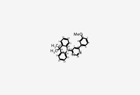 COc1cccc(-c2cc(N3c4ccccc4C(C)(C)c4ccccc43)ncn2)c1